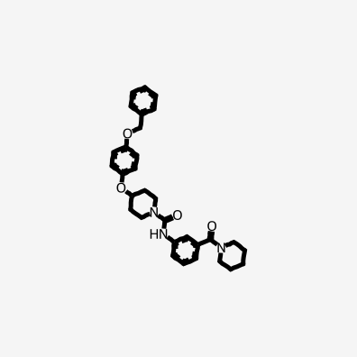 O=C(Nc1cccc(C(=O)N2CCCCC2)c1)N1CCC(Oc2ccc(OCc3ccccc3)cc2)CC1